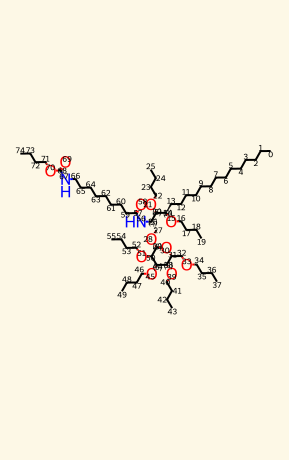 CCCCCCCCCCCCCC[C@@H](OCCCC)[C@@H](OCCCC)[C@H](CO[C@H]1OC(COCCCC)[C@H](OCCCC)[C@H](OCCCC)C1OCCCC)NC(=O)CCCCCCCCNC(=O)OCCCC